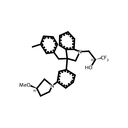 CO[C@@H]1CCN(c2cccc(C3(Cc4cccc(C)c4)CN(C[C@@H](O)C(F)(F)F)c4ccccc43)c2)C1